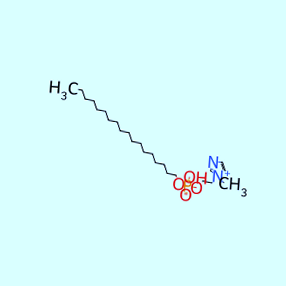 CCCCCCCCCCCCCCCCCCOP(=O)(O)OCC[N+]1(C)C=CN=C1